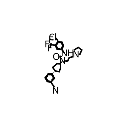 N#Cc1cccc([C@H]2CC[C@H](N(CCCN3CCCC3)C(=O)Nc3ccc(Cl)c(C(F)(F)F)c3)CC2)c1